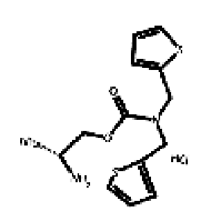 CCCC[C@@H](N)COC(=O)N(Cc1cccs1)Cc1cccs1.Cl